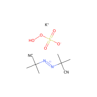 CC(C)(C#N)/N=N/C(C)(C)C#N.O=S(=O)([O-])OO.[K+]